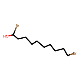 OC(Br)CCCCCCCCCBr